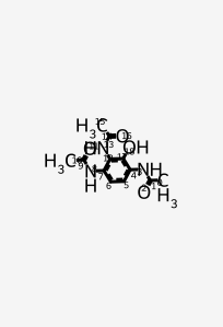 CC(=O)Nc1ccc(NC(C)=O)c(NC(C)=O)c1O